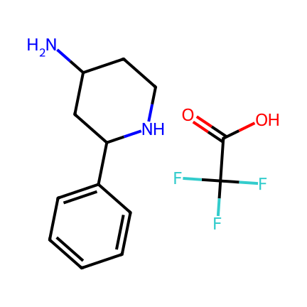 NC1CCNC(c2ccccc2)C1.O=C(O)C(F)(F)F